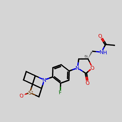 CC(=O)NC[C@H]1CN(c2ccc(N3C4CCC45C3C[S+]5[O-])c(F)c2)C(=O)O1